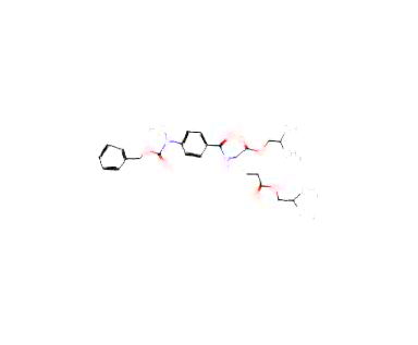 CC(C)COC(=O)CC[C@H](NC(=O)c1ccc(N(C)C(=O)OCc2ccccc2)cc1)C(=O)OCC(C)C